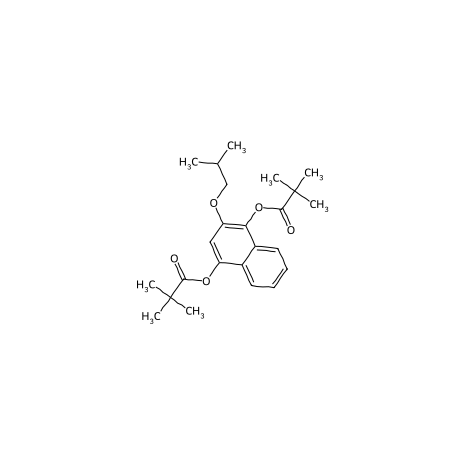 CC(C)COc1cc(OC(=O)C(C)(C)C)c2ccccc2c1OC(=O)C(C)(C)C